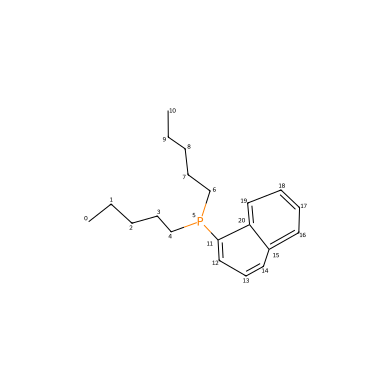 CCCCCP(CCCCC)c1cccc2ccccc12